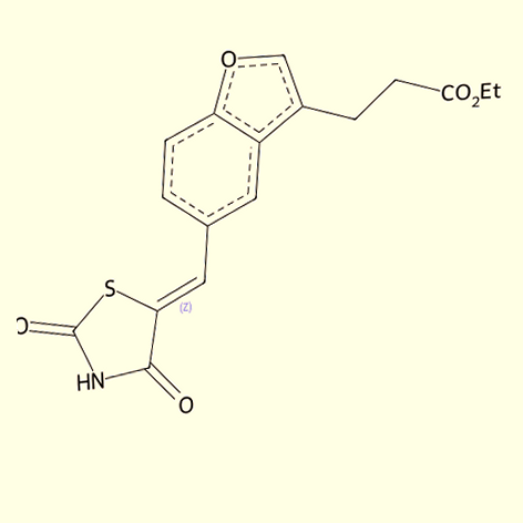 CCOC(=O)CCc1coc2ccc(/C=C3\SC(=O)NC3=O)cc12